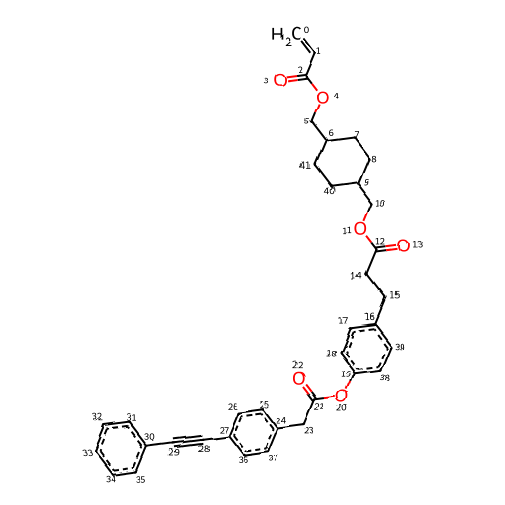 C=CC(=O)OCC1CCC(COC(=O)CCc2ccc(OC(=O)Cc3ccc(C#Cc4ccccc4)cc3)cc2)CC1